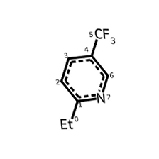 [CH2]Cc1ccc(C(F)(F)F)cn1